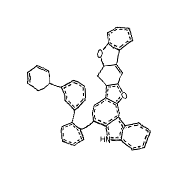 C1=CCC(c2cccc(-c3ccccc3-c3cc4c5c(oc4c4c3[nH]c3ccccc34)C=C3c4ccccc4OC3C5)c2)C=C1